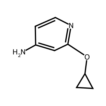 Nc1ccnc(OC2CC2)c1